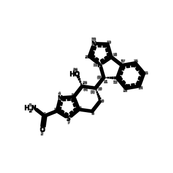 NC(=O)c1nc2c(s1)CC[C@@H]([C@H]1c3ccccc3-c3cncn31)[C@H]2O